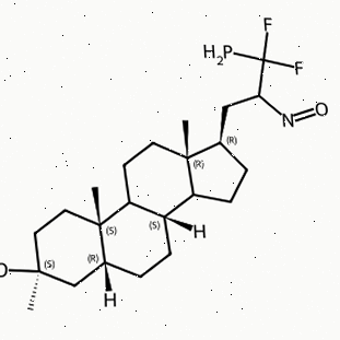 C[C@]1(O)CC[C@]2(C)C3CC[C@@]4(C)C(CC[C@@H]4CC(N=O)C(F)(F)P)[C@@H]3CC[C@@H]2C1